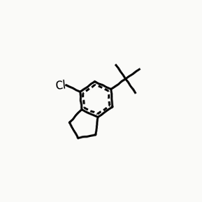 CC(C)(C)c1cc(Cl)c2c(c1)CCC2